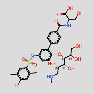 CNC[C@H](O)[C@@H](O)[C@H](O)[C@H](O)CO.Cc1cc(S(=O)(=O)Nc2cccc(-c3ccc(C(=O)NC(CO)C(=O)O)cc3)c2)c(C)cc1Cl